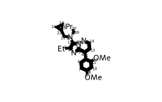 CCc1nc2c(-c3ccc(OC)cc3OC)ccnn2c1N(CC(C)C)CC1CC1